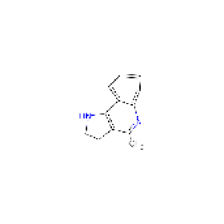 Cc1nc2ccccc2c2c1CCN2